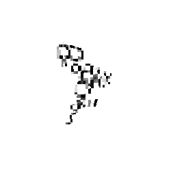 CCCCON[C@@H]1CC[C@@H](C(=O)Oc2cccc3cccnc23)N(C(=O)OC(C)(C)C)C1